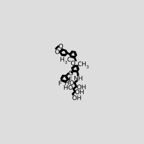 Cc1cc(CNCC(O)C(O)C(O)C(O)CO)c(OCc2ccc(F)cc2F)cc1OCc1cccc(-c2ccc3c(c2)OCCO3)c1C